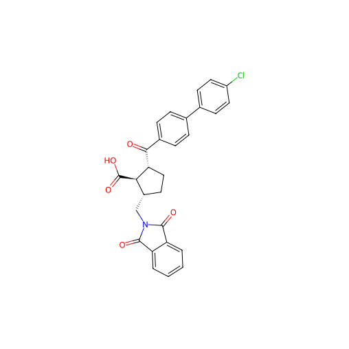 O=C(O)[C@@H]1[C@@H](CN2C(=O)c3ccccc3C2=O)CC[C@H]1C(=O)c1ccc(-c2ccc(Cl)cc2)cc1